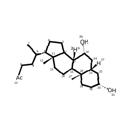 [2H][C@]12C3CC[C@H](C(C)CCC(C)=O)[C@@]3(C)CCC1[C@@]1(C)CC[C@@H](O)C[C@H]1C[C@H]2O